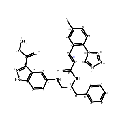 COC(=O)c1n[nH]c2ccc(NC[C@H](Cc3ccccc3)NC(=O)/C=C/c3cc(Cl)ccc3-n3cnnn3)cc12